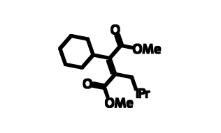 COC(=O)C(CC(C)C)=C(C(=O)OC)C1CCCCC1